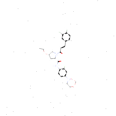 CCO[C@@H]1C[C@H](C(=O)Nc2ccc(N3CCOCO3)cc2F)N(C(=O)/C=C/c2ccc(Cl)c(Cl)c2)C1